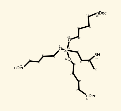 CCCCCCCCCCCCCCO[Si](CCC(C)S)(OCCCCCCCCCCCCCC)OCCCCCCCCCCCCCC